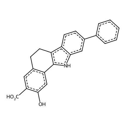 O=C(O)c1cc2c(cc1O)-c1[nH]c3cc(-c4ccccc4)ccc3c1CC2